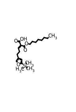 CCCCCCCCOC(=O)C(=CCCc1coc([Si](C)(C)C)c1)C(=O)O